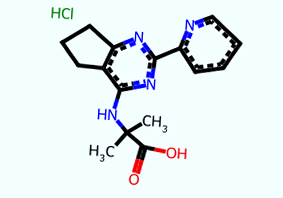 CC(C)(Nc1nc(-c2ccccn2)nc2c1CCC2)C(=O)O.Cl